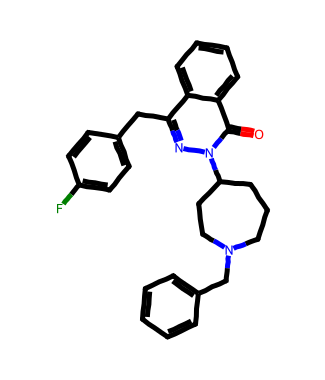 O=c1c2ccccc2c(Cc2ccc(F)cc2)nn1C1CCCN(Cc2ccccc2)CC1